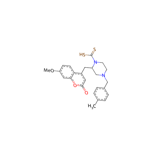 COc1ccc2c(CC3CN(Cc4ccc(C)cc4)CCN3C(=S)S)cc(=O)oc2c1